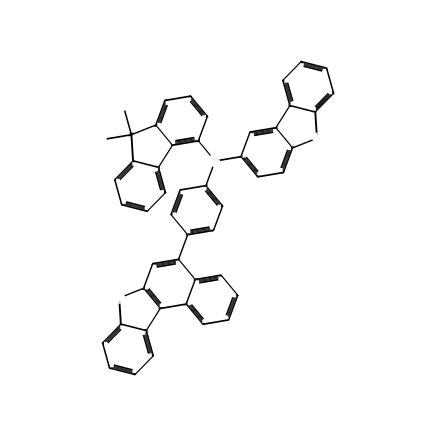 CC1(C)c2ccccc2-c2c(N(c3ccc(-c4cc5oc6ccccc6c5c5ccccc45)cc3)c3ccc4sc5ccccc5c4c3)cccc21